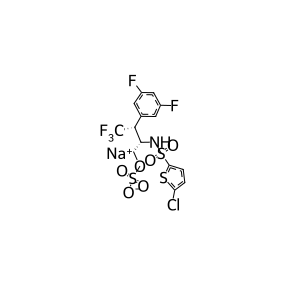 O=S(=O)([O-])OC[C@@H](NS(=O)(=O)c1ccc(Cl)s1)[C@@H](c1cc(F)cc(F)c1)C(F)(F)F.[Na+]